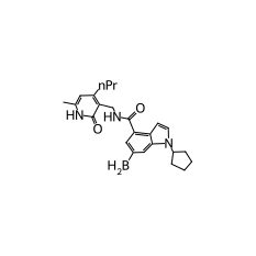 Bc1cc(C(=O)NCc2c(CCC)cc(C)[nH]c2=O)c2ccn(C3CCCC3)c2c1